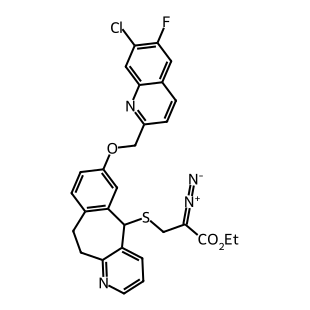 CCOC(=O)C(CSC1c2cc(OCc3ccc4cc(F)c(Cl)cc4n3)ccc2CCc2ncccc21)=[N+]=[N-]